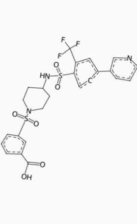 O=C(O)c1cccc(S(=O)(=O)N2CCC(NS(=O)(=O)c3ccc(-c4cccnc4)cc3C(F)(F)F)CC2)c1